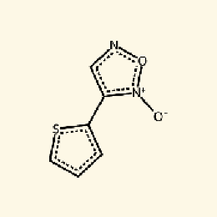 [O-][n+]1oncc1-c1cccs1